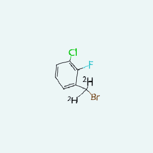 [2H]C([2H])(Br)c1cccc(Cl)c1F